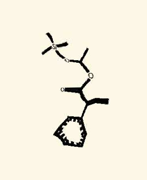 C=C(C(=O)OC(C)O[Si](C)(C)C)c1ccccc1